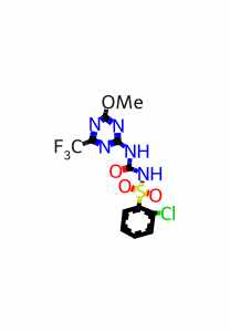 COc1nc(NC(=O)NS(=O)(=O)c2ccccc2Cl)nc(C(F)(F)F)n1